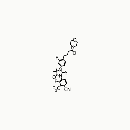 CC1(C)C(=O)N(C2=C(F)C(C(F)(F)F)C(C#N)C=C2)C(=S)N1c1ccc(CCCC(=O)N2CCOCC2)c(F)c1